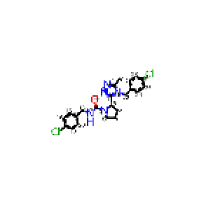 Cc1nnc([C@H]2CCCN2C(=O)NCc2ccc(Cl)cc2)n1Cc1ccc(Cl)cc1